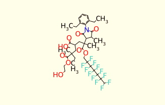 CCc1cccc(CC)c1N1C(=O)C(C)C(C(C)(CC(CC(C)(CC)C(=O)OCCO)C(=O)O)C(=O)OCC(F)(F)C(F)(F)C(F)(F)C(F)(F)C(F)(F)C(F)F)C1=O